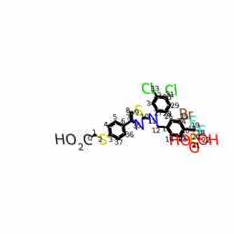 O=C(O)CSc1ccc(-c2csc(N(Cc3ccc(C(F)(F)P(=O)(O)O)c(Br)c3)c3ccc(Cl)c(Cl)c3)n2)cc1